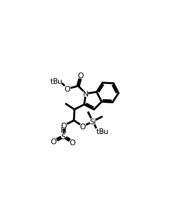 CC(c1cc2ccccc2n1C(=O)OC(C)(C)C)C(O[SH](=O)=O)O[Si](C)(C)C(C)(C)C